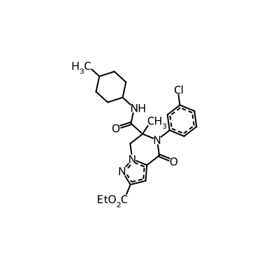 CCOC(=O)c1cc2n(n1)CC(C)(C(=O)NC1CCC(C)CC1)N(c1cccc(Cl)c1)C2=O